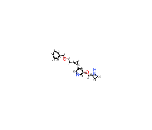 c1ccc(COCC[C@H]2C[C@@H]2c2cncc(OC[C@@H]3CCN3)c2)cc1